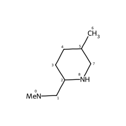 CNCC1CCC(C)CN1